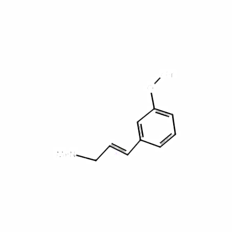 CCCOc1cccc(/C=C/CNC)c1